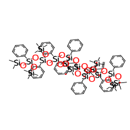 C=C[Si](C)(C)O[Si](O[Si](O[Si](C)(C)C)(O[Si](O[Si](C)(C)C)(O[Si](C)(C)C)c1ccccc1)c1ccccc1)(O[Si](O[Si](C)(C)C)(O[Si](O[Si](C)(C)C)(O[Si](O[Si](C)(C)C=C)(O[Si](O[Si](C)(C)C)(O[Si](O[Si](C)(C)C)(O[Si](C)(C)C)c1ccccc1)c1ccccc1)c1ccccc1)c1ccccc1)c1ccccc1)c1ccccc1